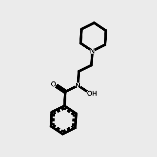 O=C(c1ccccc1)N(O)CCN1CCCCC1